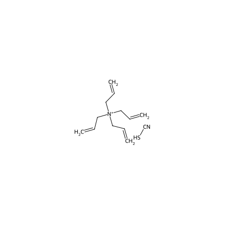 C=CC[N+](CC=C)(CC=C)CC=C.N#CS